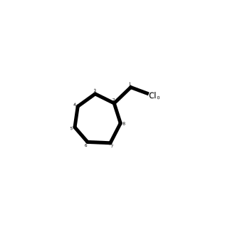 ClCC1CCCCCC1